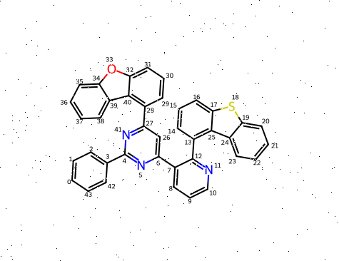 c1ccc(-c2nc(-c3cccnc3-c3cccc4sc5ccccc5c34)cc(-c3cccc4oc5ccccc5c34)n2)cc1